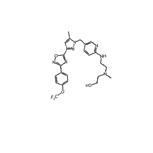 Cc1cc(-c2nc(-c3ccc(OC(F)(F)F)cc3)no2)nn1Cc1ccc(NCCN(C)CCO)nc1